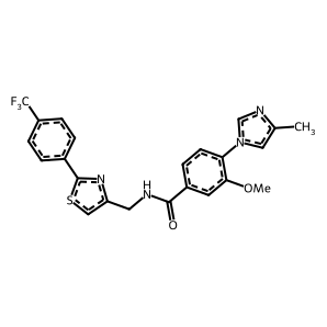 COc1cc(C(=O)NCc2csc(-c3ccc(C(F)(F)F)cc3)n2)ccc1-n1cnc(C)c1